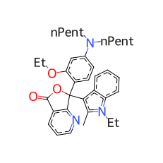 CCCCCN(CCCCC)c1ccc(C2(c3c(C)n(CC)c4ccccc34)OC(=O)c3cccnc32)c(OCC)c1